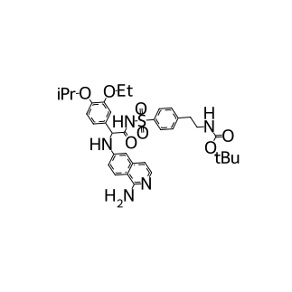 CCOc1cc(C(Nc2ccc3c(N)nccc3c2)C(=O)NS(=O)(=O)c2ccc(CCNC(=O)OC(C)(C)C)cc2)ccc1OC(C)C